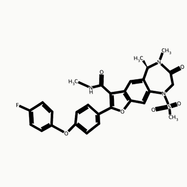 CNC(=O)c1c(-c2ccc(Oc3ccc(F)cc3)cc2)oc2cc3c(cc12)[C@@H](C)N(C)C(=O)CN3S(C)(=O)=O